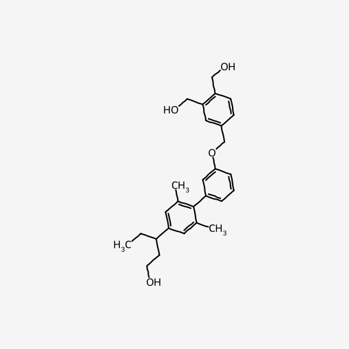 CCC(CCO)c1cc(C)c(-c2cccc(OCc3ccc(CO)c(CO)c3)c2)c(C)c1